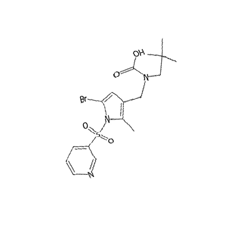 Cc1c(CN(CC(C)(C)C)C(=O)O)cc(Br)n1S(=O)(=O)c1cccnc1